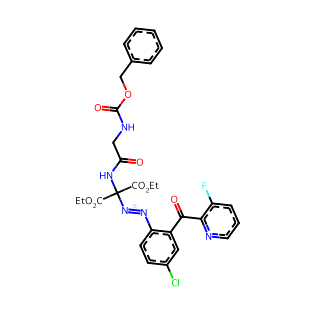 CCOC(=O)C(/N=N/c1ccc(Cl)cc1C(=O)c1ncccc1F)(NC(=O)CNC(=O)OCc1ccccc1)C(=O)OCC